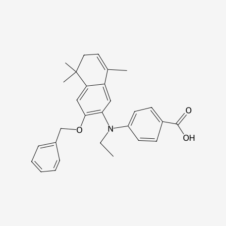 CCN(c1ccc(C(=O)O)cc1)c1cc2c(cc1OCc1ccccc1)C(C)(C)CC=C2C